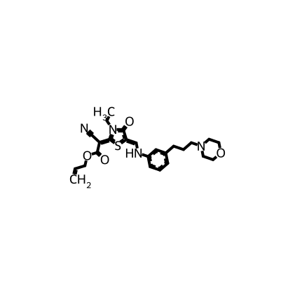 C=CCOC(=O)C(C#N)=c1sc(=CNc2cccc(CCCN3CCOCC3)c2)c(=O)n1CC